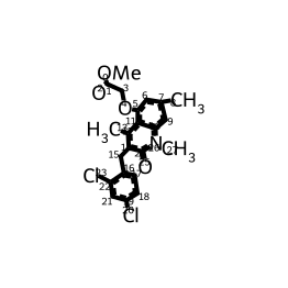 COC(=O)COc1cc(C)cc2c1c(C)c(Cc1ccc(Cl)cc1Cl)c(=O)n2C